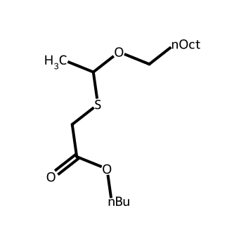 CCCCCCCCCOC(C)SCC(=O)OCCCC